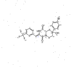 O=CN/C(=C\c1cccc(C(F)(F)F)c1)C(=O)N1CCC(O)(c2ccc(Br)cc2)CC1